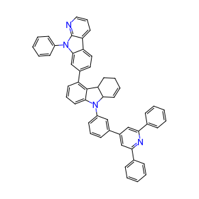 C1=CC2C(CC1)c1c(-c3ccc4c5cccnc5n(-c5ccccc5)c4c3)cccc1N2c1cccc(-c2cc(-c3ccccc3)nc(-c3ccccc3)c2)c1